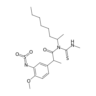 CCCCCCC(C)N(C(=O)C(C)c1ccc(OC)c(N=S(=O)=O)c1)C(=S)NC